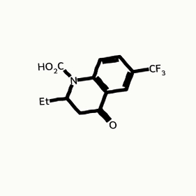 CCC1CC(=O)c2cc(C(F)(F)F)ccc2N1C(=O)O